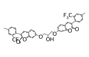 Cc1ccc(-c2cc3ccc(OCC(O)COc4ccc5cc(-c6ccc(C)cc6C(F)(F)F)c(=O)oc5c4)cc3oc2=O)c(C(F)(F)F)c1